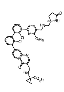 COc1nc(-c2cccc(-c3cccc(-c4ccn5c(=O)c(CNC6(C(=O)O)CC6)cnc5c4)c3Cl)c2Cl)ccc1CNC[C@H]1CCC(=O)N1